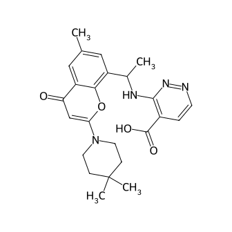 Cc1cc(C(C)Nc2nnccc2C(=O)O)c2oc(N3CCC(C)(C)CC3)cc(=O)c2c1